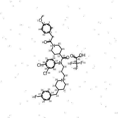 COc1ccc(CC(=O)N2CCC(C(=O)N(CCCN3CCC(Cc4ccc(F)cc4)CC3)c3ccc(Cl)c(Cl)c3)CC2)cc1.O=C(O)C(F)(F)F